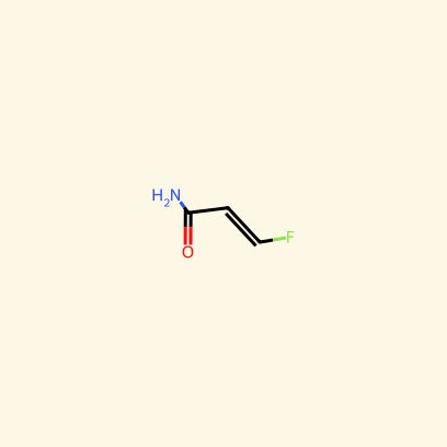 NC(=O)C=CF